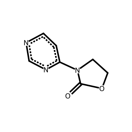 O=C1OCCN1c1ccncn1